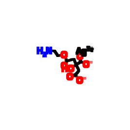 NCCOC(=O)CC(O)(CC(=O)[O-])C(=O)[O-].[Ag+2]